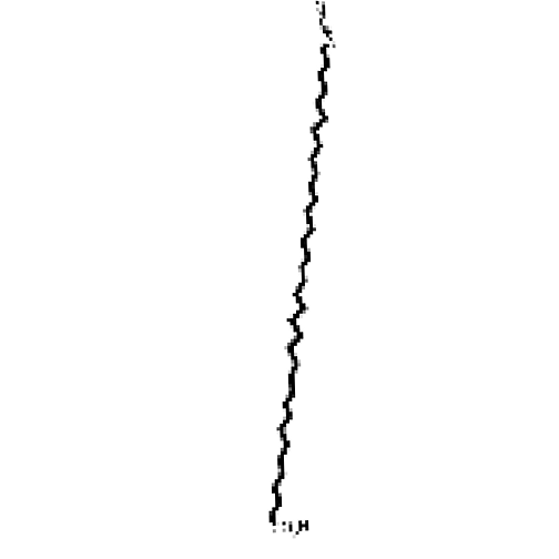 O=C=NCCCCCCCCCCCCCCCCCCCCCCCCCCCCCCCCCCCC(=O)O